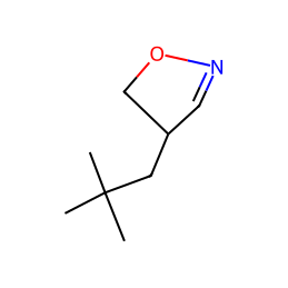 CC(C)(C)CC1C=NOC1